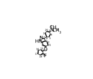 CN(C)c1ccc(-c2n[nH]c3cc(Oc4ccccc4F)ccc23)cc1